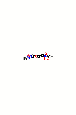 CC(O)CNC(=O)[C@H]1CC=C(c2ccc(OCC3CCN(c4nc(C(C)C)no4)CC3)cc2)CC1